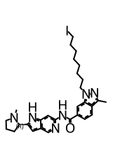 Cc1nn(CCCCCCCCI)c2cc(C(=O)Nc3cc4[nH]c([C@H]5CCCN5C)cc4cn3)ccc12